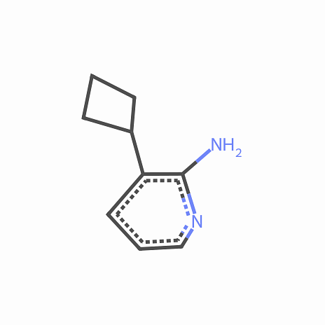 Nc1ncccc1C1CCC1